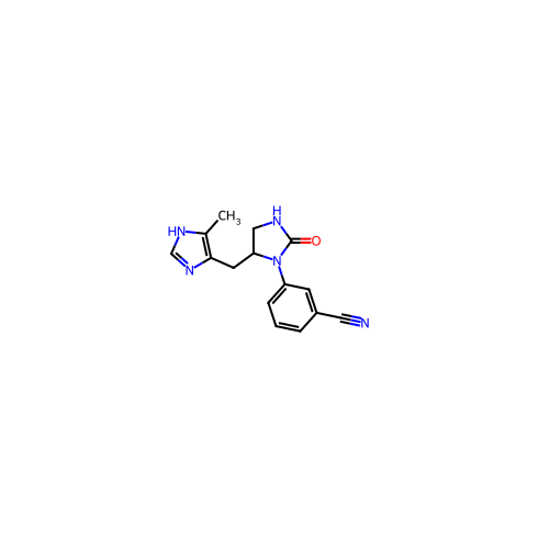 Cc1[nH]cnc1CC1CNC(=O)N1c1cccc(C#N)c1